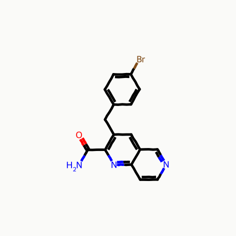 NC(=O)c1nc2ccncc2cc1Cc1ccc(Br)cc1